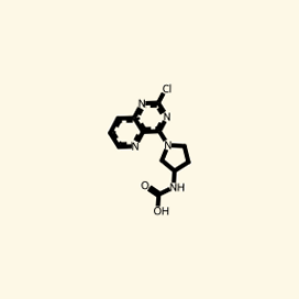 O=C(O)NC1CCN(c2nc(Cl)nc3cccnc23)C1